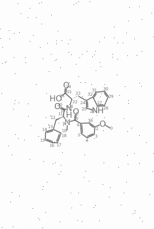 COc1cccc(C(=O)N(C)[C@@H](Cc2ccccc2)C(=O)N[C@@H](Cc2c[nH]c3ccccc23)C(=O)O)c1